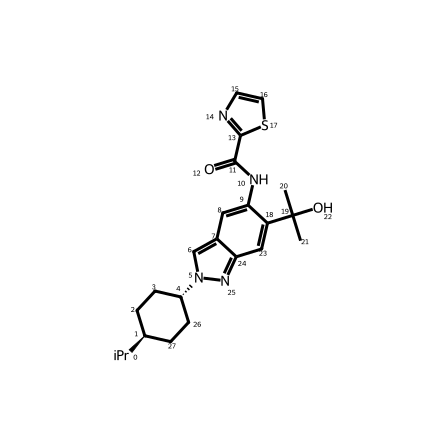 CC(C)[C@H]1CC[C@H](n2cc3cc(NC(=O)c4nccs4)c(C(C)(C)O)cc3n2)CC1